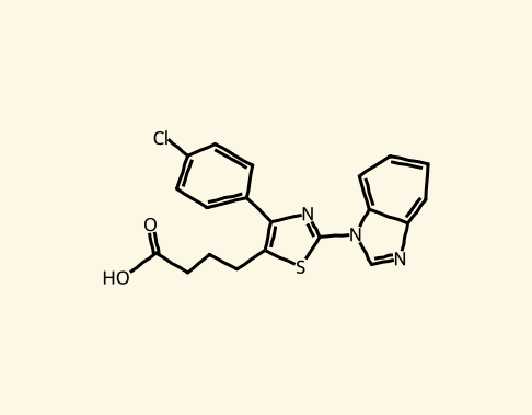 O=C(O)CCCc1sc(-n2cnc3ccccc32)nc1-c1ccc(Cl)cc1